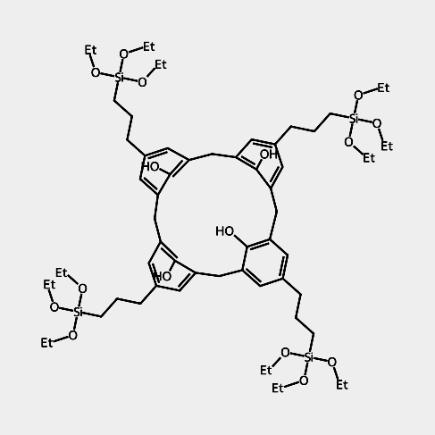 CCO[Si](CCCc1cc2c(O)c(c1)Cc1cc(CCC[Si](OCC)(OCC)OCC)cc(c1O)Cc1cc(CCC[Si](OCC)(OCC)OCC)cc(c1O)Cc1cc(CCC[Si](OCC)(OCC)OCC)cc(c1O)C2)(OCC)OCC